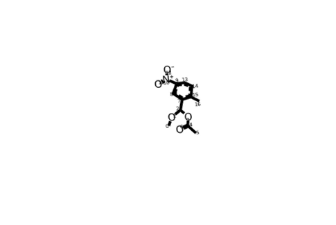 COC(OC(C)=O)c1cc([N+](=O)[O-])ccc1C